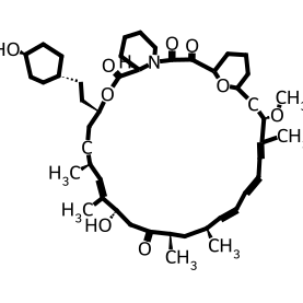 CO[C@H]1CC2CCCC(O2)C(=O)C(=O)N2CCCC[C@H]2C(=O)O[C@H](CC[C@H]2CC[C@H](O)CC2)CC[C@H](C)/C=C(\C)[C@@H](O)CC(=O)[C@H](C)C[C@H](C)/C=C/C=C/C=C/1C